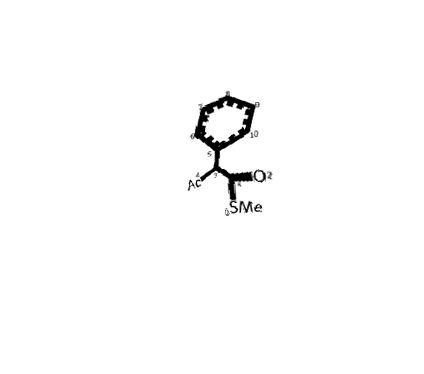 CSC(=O)C(C(C)=O)c1ccccc1